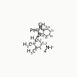 Cc1ccc(CN(I)I)cc1C.Cn1[c](=[Pt])n(C)c2ccccc21